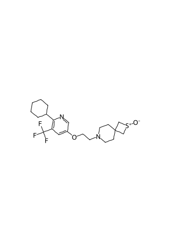 [O-][S+]1CC2(CCN(CCOc3cnc(C4CCCCC4)c(C(F)(F)F)c3)CC2)C1